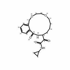 O=C(NC1CC1)C(=O)C1CCCCOCCOCc2ccccc2C(=O)N1